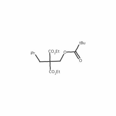 CCOC(=O)C(COC(=O)C(C)(C)C)(CC(C)C)C(=O)OCC